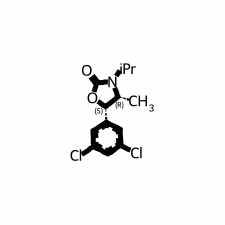 CC(C)N1C(=O)O[C@@H](c2cc(Cl)cc(Cl)c2)[C@H]1C